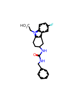 O=C(O)Cn1c2c(c3cc(F)ccc31)CC(NC(=O)NCc1ccccc1)CC2